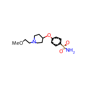 COCCN1CCC(Oc2ccc(S(N)(=O)=O)cc2)CC1